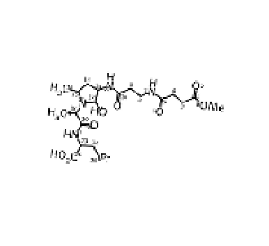 COC(=O)CCC(=O)NCCC(=O)NC1CC(C)N(C(C)C(=O)NC(CC(C)C)C(=O)O)C1O